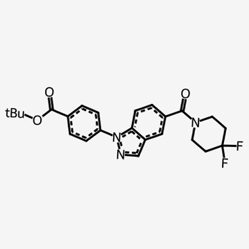 CC(C)(C)OC(=O)c1ccc(-n2ncc3cc(C(=O)N4CCC(F)(F)CC4)ccc32)cc1